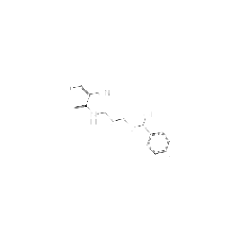 C=C(NCCCOC(O)c1ccccc1)/C(C#N)=C\CC